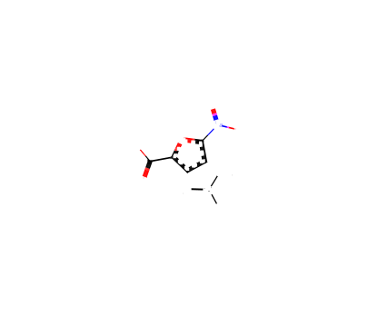 O=C([O-])c1ccc([N+](=O)[O-])o1.[CH3][Sn]([CH3])[CH3]